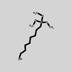 CO[Si](CCCCCCCCO)(OC)OC